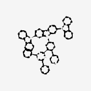 c1ccc(-c2nc(-c3ccccc3)nc(-c3cc(-n4c5cc(-n6c7ccccc7c7ccccc76)ccc5c5ccc(-n6c7ccccc7c7ccccc76)cc54)ccc3-c3ccncc3)n2)cc1